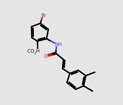 Cc1ccc(/C=C/C(=O)Nc2cc(Br)ccc2C(=O)O)cc1C